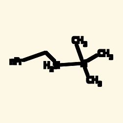 CCCC[SiH2][Si](C)(C)C